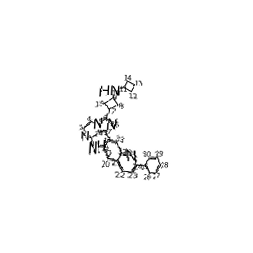 Nc1nccn2c(C3CC(NC4CCC4)C3)nc(-c3ccc4ccc(-c5ccccc5)nc4c3)c12